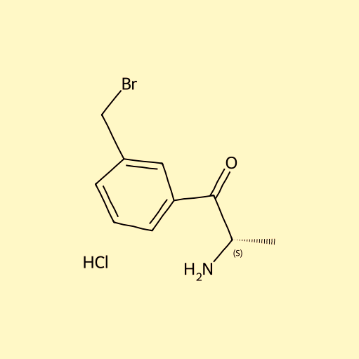 C[C@H](N)C(=O)c1cccc(CBr)c1.Cl